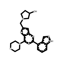 OC1CCN(Cc2cc3nc(-c4cccc5[nH]ncc45)nc(N4CCOCC4)c3s2)C1